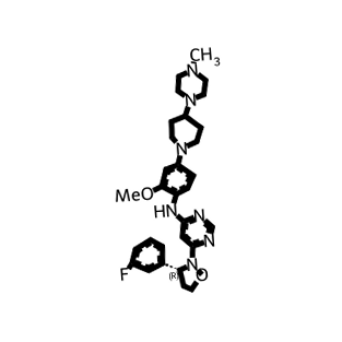 COc1cc(N2CCC(N3CCN(C)CC3)CC2)ccc1Nc1cc(N2OCC[C@@H]2c2cccc(F)c2)ncn1